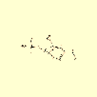 CCc1ccc(OCC(C)(C)O)c(Cl)c1